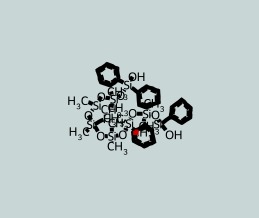 C[Si](C)(O[Si](C)(C)O[Si](C)(C)O[Si](C)(C)O[Si](O)(c1ccccc1)c1ccccc1)O[Si](C)(C)O[Si](C)(C)O[Si](O)(c1ccccc1)c1ccccc1